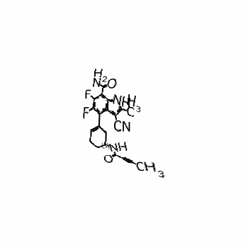 CC#CC(=O)N[C@H]1CCC=C(c2c(F)c(F)c(C(N)=O)c3[nH]c(C)c(C#N)c23)C1